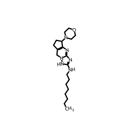 CCCCCCCCNC1=NC2=NC3=C(CCC3N3CCOCC3)CN2N1